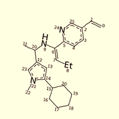 C=Cc1ccc(/C(=C\CC)NC(C)c2cc(C3CCCCC3)n(C)c2)nc1